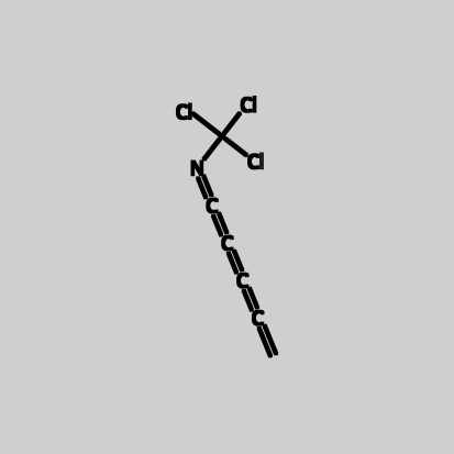 C=C=C=C=C=NC(Cl)(Cl)Cl